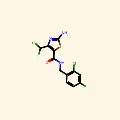 Nc1nc(C(Cl)Cl)c(C(=O)NCc2ccc(F)cc2Cl)s1